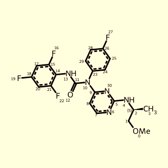 COC[C@H](C)Nc1nccc(N(C(=O)Nc2c(F)cc(F)cc2F)c2ccc(F)cc2)n1